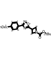 CCCCCCCCCCc1ccc(-c2noc(C3CN(C(=O)OC(C)(C)C)C3)n2)cc1